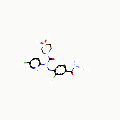 NNC(=O)c1ccc(CN(C(=O)N2CCS(=O)(=O)CC2)c2ccc(F)cn2)c(F)c1